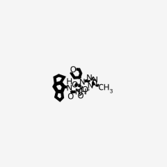 Cn1nnc(N(C2CCOCC2)S(=O)(=O)[NH+]([O-])C(=O)Nc2c3c(cc4c2CCC4)CCC3)n1